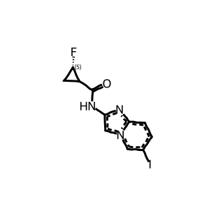 O=C(Nc1cn2cc(I)ccc2n1)C1C[C@@H]1F